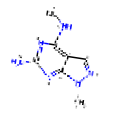 Cn1ncc2c(NC(C)(C)C)nc(N)nc21